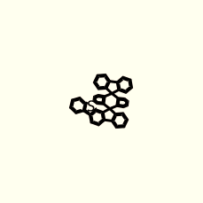 c1ccc2c(c1)-c1ccccc1C21c2ccccc2C2(c3ccccc3-c3ccc4c(sc5ccccc54)c32)c2ccccc21